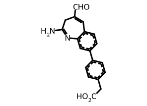 NC1=Nc2cc(-c3ccc(CC(=O)O)cc3)ccc2C=C(C=O)C1